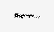 C/C(=C\COCCc1nc(-c2ccccc2)oc1C)CSCC(=O)O